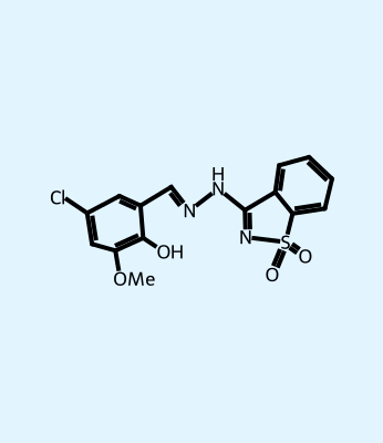 COc1cc(Cl)cc(/C=N/NC2=NS(=O)(=O)c3ccccc32)c1O